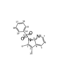 Cc1c(I)c2cccnc2n1S(=O)(=O)c1ccccc1